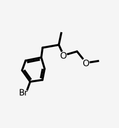 COCOC(C)Cc1ccc(Br)cc1